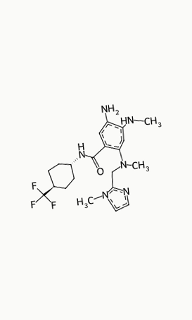 CNc1cc(N(C)Cc2nccn2C)c(C(=O)N[C@H]2CC[C@H](C(F)(F)F)CC2)cc1N